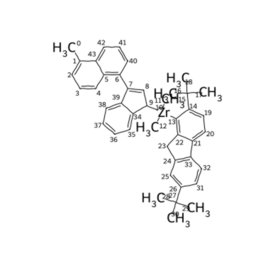 Cc1cccc2c(C3=C[CH]([Zr]([CH3])([CH3])[c]4c(C(C)(C)C)ccc5c4Cc4cc(C(C)(C)C)ccc4-5)c4ccccc43)cccc12